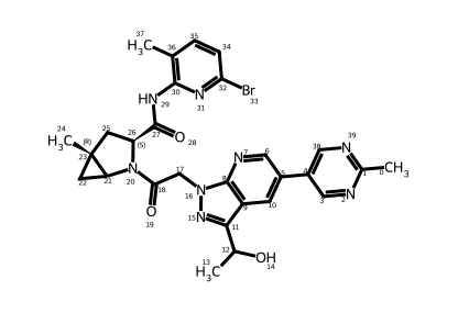 Cc1ncc(-c2cnc3c(c2)c(C(C)O)nn3CC(=O)N2C3C[C@]3(C)C[C@H]2C(=O)Nc2nc(Br)ccc2C)cn1